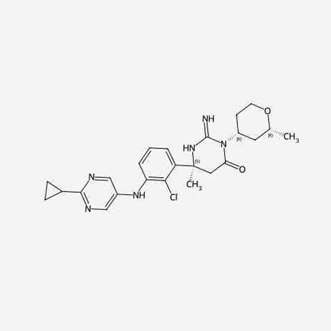 C[C@@H]1C[C@H](N2C(=N)N[C@](C)(c3cccc(Nc4cnc(C5CC5)nc4)c3Cl)CC2=O)CCO1